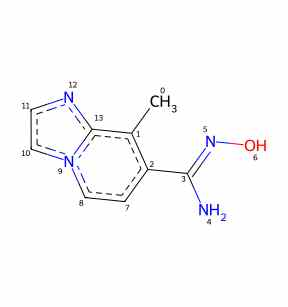 Cc1c(C(N)=NO)ccn2ccnc12